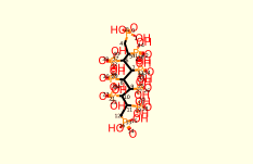 O=P(O)(O)CC(C(C(C(C(C(C(CP(=O)(O)O)P(=O)(O)O)P(=O)(O)O)P(=O)(O)O)P(=O)(O)O)P(=O)(O)O)P(=O)(O)O)P(=O)(O)O